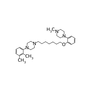 Cc1cccc(N2CCN(CCCCCCCOc3ccccc3N3CCN(C)CC3)CC2)c1C